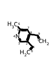 C=Cc1cnc(C)cc1C=C